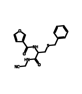 N#CCNC(=O)C(CSCc1ccccc1)NC(=O)c1ccoc1